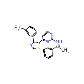 C[C@H](Nc1nccc(-c2scnc2-c2cccc(C(F)(F)F)c2)n1)c1ccccc1